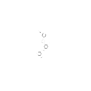 COc1ccc(C(=O)Nc2cncc(C(F)(F)F)c2)cc1C1CCN(c2ccnc(C#N)c2)C1